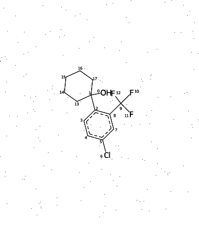 OC1(c2ccc(Cl)cc2C(F)(F)F)CCCCC1